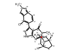 Cn1cc2c(Cl)c(-c3n[nH]c4nc(N5[C@@H]6CC[C@H]5C[C@H](N)C6)n(C)c(=O)c34)ccc2n1